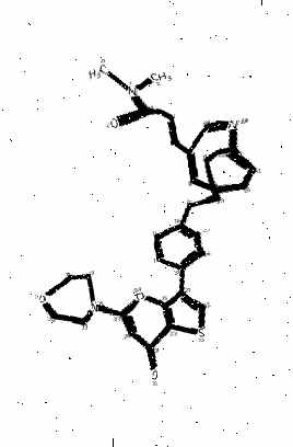 CN(C)C(=O)/C=C/C1=C/CC/C=C(CCCc2ccc(-c3csc4c(=O)cc(N5CCOCC5)oc34)cc2)/N=C\1